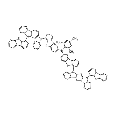 Cc1cc(C)c(B(c2ccc3sc4c(-n5c6ccccc6c6cc7c8ccccc8n(-c8cccc9c8sc8ccccc89)c7cc65)cccc4c3c2)c2ccc3sc4c(-n5c6ccccc6c6c5ccc5c7ccccc7n(-c7cccc8c7sc7ccccc78)c56)cccc4c3c2)c(C)c1